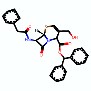 O=C(Cc1ccccc1)N[C@@H]1C(=O)N2C(C(=O)OC(c3ccccc3)c3ccccc3)C(CO)=CS[C@@H]12